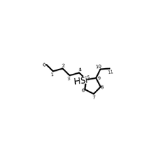 CCCCC[SiH]1CCCC1CC